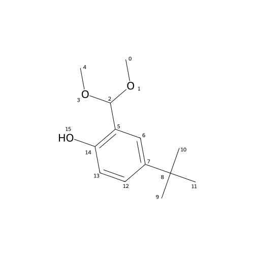 COC(OC)c1cc(C(C)(C)C)ccc1O